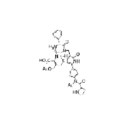 CC(=O)OCC1=C(C(=O)O)N2C(=O)C(N(Cc3ccc(-c4ccc(N(C(C)=O)C(=O)C5CCCN5)cc4)[nH]c3=O)C(=O)C(N)c3ccccc3)[C@@H]2SC1